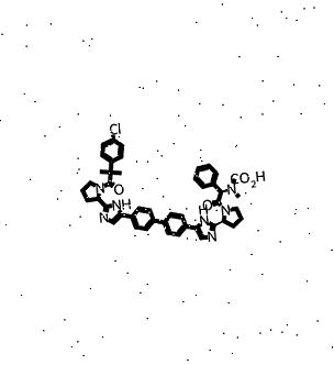 CN(C(=O)O)[C@@H](C(=O)N1CCC[C@H]1c1ncc(-c2ccc(-c3ccc(-c4cnc(C5CCCN5C(=O)C(C)(C)c5ccc(Cl)cc5)[nH]4)cc3)cc2)[nH]1)c1ccccc1